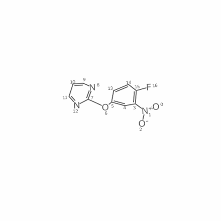 O=[N+]([O-])c1cc(Oc2ncccn2)ccc1F